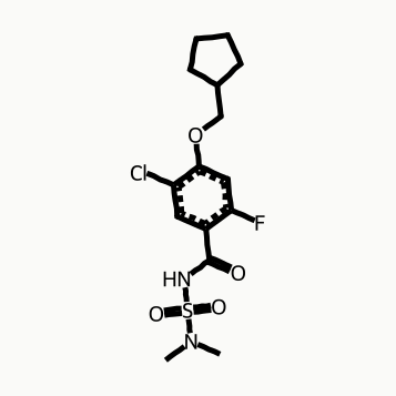 CN(C)S(=O)(=O)NC(=O)c1cc(Cl)c(OCC2CCCC2)cc1F